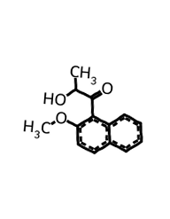 COc1ccc2ccccc2c1C(=O)C(C)O